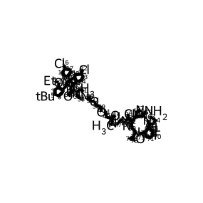 CCOc1cc(C(C)(C)C)ccc1C1=N[C@]2(c3ccc(Cl)cc3)c3cc(Cl)ccc3[C@@]2(C)N1C(=O)N1CCN(CCOCCOCCC(=O)N(C)CCn2nc3c(c2C#N)-c2cnc(N)c(c2)N2CCC[C@@H]2c2cc(F)ccc2C(=O)N(C2CC2)C3)CC1